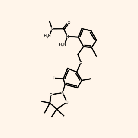 Cc1cc(B2OC(C)(C)C(C)(C)O2)c(F)cc1OCc1c(C)cccc1N(N)C(=O)N(C)N